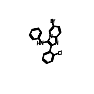 Clc1ccccc1-c1nc2ccc(Br)cn2c1Nc1ccccc1